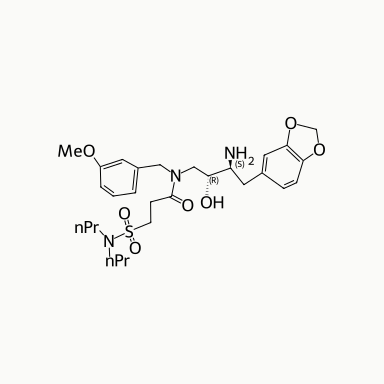 CCCN(CCC)S(=O)(=O)CCC(=O)N(Cc1cccc(OC)c1)C[C@@H](O)[C@@H](N)Cc1ccc2c(c1)OCO2